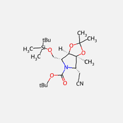 CC(C)(C)OC(=O)N1[C@H](CO[Si](C)(C)C(C)(C)C)[C@H]2OC(C)(C)O[C@@]2(C)[C@@H]1CC#N